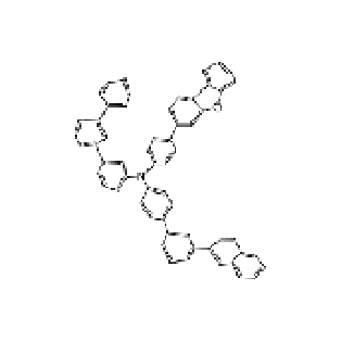 c1ccc(-c2cccc(-c3cccc(N(c4ccc(-c5cccc(-c6ccc7ccccc7c6)c5)cc4)c4ccc(-c5ccc6c(c5)oc5ccccc56)cc4)c3)c2)cc1